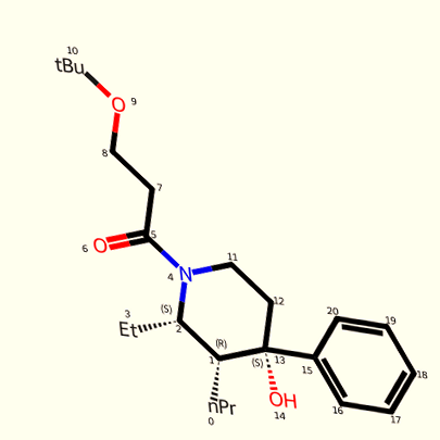 CCC[C@@H]1[C@H](CC)N(C(=O)CCOC(C)(C)C)CC[C@@]1(O)c1ccccc1